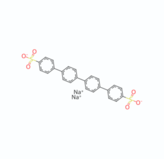 O=S(=O)([O-])c1ccc(-c2ccc(-c3ccc(-c4ccc(S(=O)(=O)[O-])cc4)cc3)cc2)cc1.[Na+].[Na+]